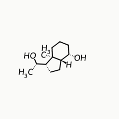 C[C@H](O)[C@H]1CC[C@H]2[C@@H](O)CCC[C@]12C